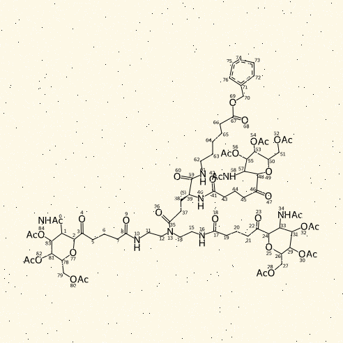 CC(=O)NC1C(C(=O)CCCC(=O)NCCN(CCNC(=O)CCCC(=O)C2OC(COC(C)=O)C(OC(C)=O)C(OC(C)=O)C2NC(C)=O)C(=O)CC[C@H](NC(=O)CCCC(=O)C2OC(COC(C)=O)C(OC(C)=O)C(OC(C)=O)C2NC(C)=O)C(=O)NCCCCCC(=O)OCc2ccccc2)OC(COC(C)=O)C(OC(C)=O)C1OC(C)=O